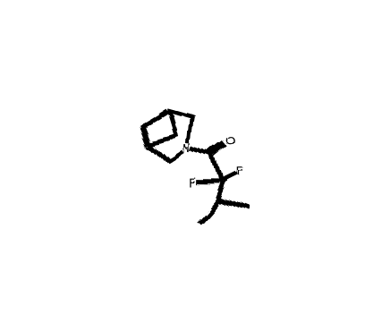 CC(C)C(F)(F)C(=O)N1CC2CC(C2)C1